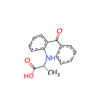 CC(Nc1ccccc1C(=O)c1ccccc1)C(=O)O